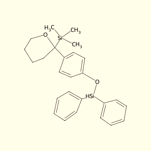 C[Si](C)(C)C1(c2ccc(O[SiH](c3ccccc3)c3ccccc3)cc2)CCCCO1